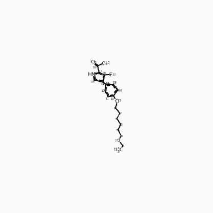 CCOCCCCCCOc1ccc(-c2c[nH]c(C(=O)O)c2F)cc1